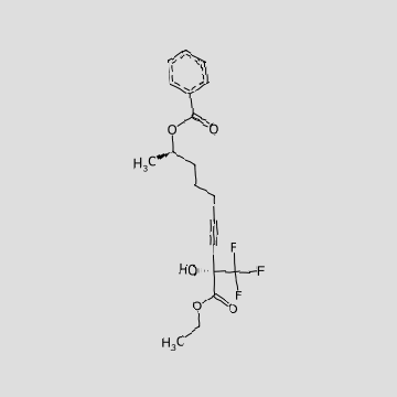 CCOC(=O)[C@@](O)(C#CCCC[C@@H](C)OC(=O)c1ccccc1)C(F)(F)F